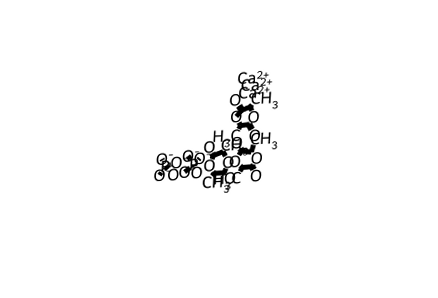 CC1OC(=O)C(C)OC1=O.CC1OC(=O)C(C)OC1=O.CC1OC(=O)C(C)OC1=O.O=P([O-])([O-])[O-].O=P([O-])([O-])[O-].[Ca+2].[Ca+2].[Ca+2]